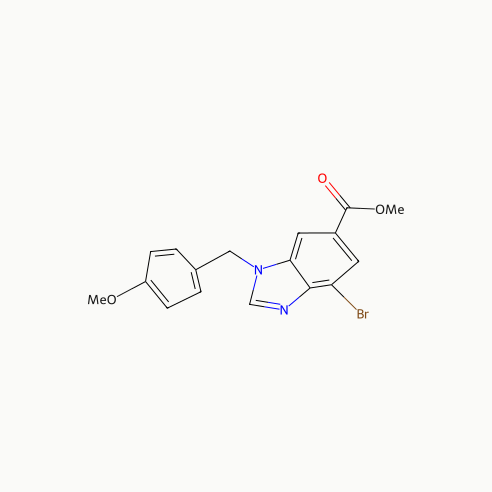 COC(=O)c1cc(Br)c2ncn(Cc3ccc(OC)cc3)c2c1